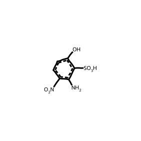 Nc1c([N+](=O)[O-])ccc(O)c1S(=O)(=O)O